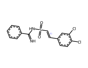 N=C(NS(=O)(=O)/C=C/c1ccc(Cl)c(Cl)c1)c1ccccc1